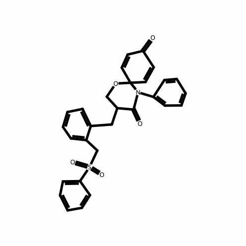 O=C1C=CC2(C=C1)OCC(Cc1ccccc1CS(=O)(=O)c1ccccc1)C(=O)N2c1ccccc1